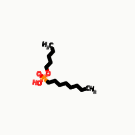 CCCCCCCCP(=O)(O)OCCCCC